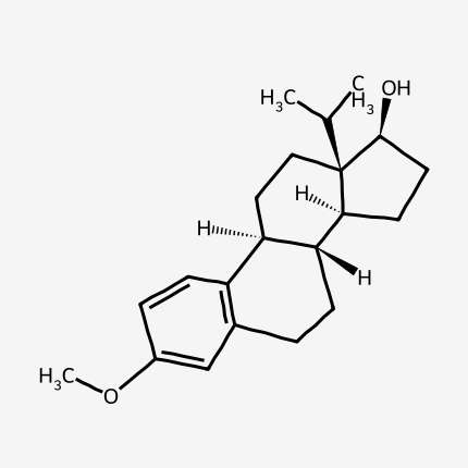 COc1ccc2c(c1)CC[C@@H]1[C@@H]2CC[C@]2(C(C)C)[C@@H](O)CC[C@@H]12